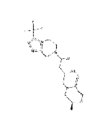 C[C@H]1CN(C[C@@H](N)CC(=O)N2CCn3c(nnc3C(F)(F)F)C2)C(=O)CO1